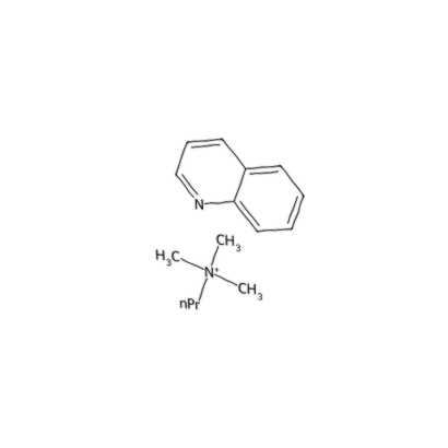 CCC[N+](C)(C)C.c1ccc2ncccc2c1